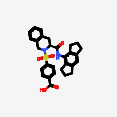 O=C(O)c1ccc(S(=O)(=O)N2Cc3ccccc3C[C@H]2C(=O)Nc2c3c(cc4c2CCC4)CCC3)cc1